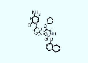 C[C@H](NP(=O)(OC[C@H]1OC[C@@H](n2ccc(N)nc2=O)O1)Oc1cccc2ccccc12)C(=O)OC1CCCC1